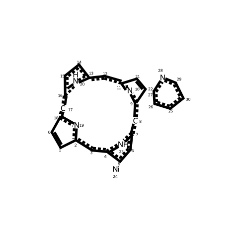 C1=Cc2cc3ccc(cc4nc(cc5ccc(cc1n2)[nH]5)C=C4)[nH]3.[Ni].c1ccncc1